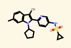 Cc1ccc2c(C#N)c(-c3ccc(NS(=O)(=O)C4CC4)cn3)n(C3CCCC3)c2c1